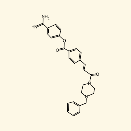 N=C(N)c1ccc(OC(=O)c2ccc(/C=C/C(=O)N3CCN(Cc4ccccc4)CC3)cc2)cc1